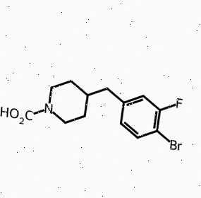 O=C(O)N1CCC(Cc2ccc(Br)c(F)c2)CC1